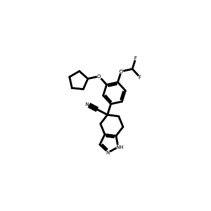 N#CC1(c2ccc(OC(F)F)c(OC3CCCC3)c2)CCc2[nH]ncc2C1